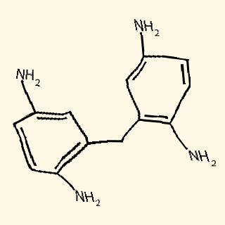 Nc1ccc(N)c(Cc2cc(N)ccc2N)c1